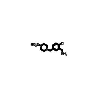 NCc1cc(CN2CCN(C(=O)O)CC2)ccc1Cl